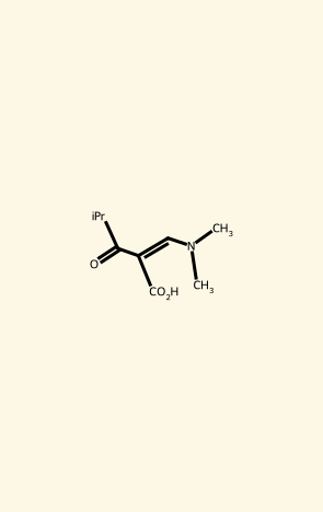 CC(C)C(=O)/C(=C/N(C)C)C(=O)O